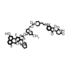 C#Cc1c(F)ccc2cc(O)cc(-c3ncc4c(N5CC6CCC(C5)N6)nc(OC[C@@]56CC[C@@H](COC(=O)N7CCC(CCNc8ccc9c(c8)C(=O)N(C8CCC(=O)NC8=O)C9=O)CC7)N5CC(=C)C6)nc4c3F)c12